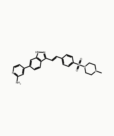 CN1CCN(S(=O)(=O)c2ccc(/C=C/c3n[nH]c4cc(-c5ccnc(N)c5)ccc34)cc2)CC1